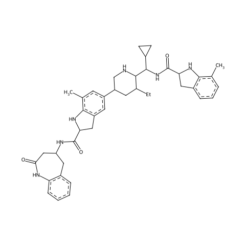 CCC1CC(c2cc(C)c3c(c2)CC(C(=O)NC2CC(=O)Nc4ccccc4C2)N3)CNC1C(NC(=O)C1Cc2cccc(C)c2N1)C1CC1